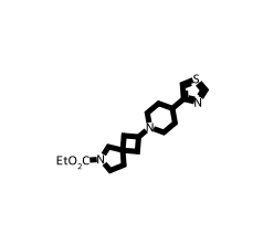 CCOC(=O)N1CCC2(CC(N3CCC(c4cscn4)CC3)C2)C1